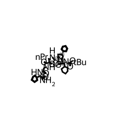 CCCC(NC(=O)[C@@H]1C[C@@H](c2ccccc2)CN1C(=O)[C@@H](NC(=O)OC(C)(C)C)C1CCCCC1)C(=O)C(=O)NCC(=O)N[C@H](C(N)=O)c1ccccc1